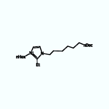 CCCCCCCCCCCCCCCCn1cc[n+](CCCCCC)c1CC